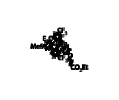 CCOC(=O)CCCOc1cnc(N(Cc2cc(C(F)(F)F)cc(C(F)(F)F)c2)Cc2cc(C(F)(F)F)ccc2-c2nc(SC)ncc2OC)nc1